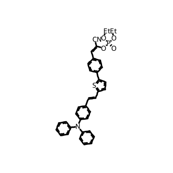 CCOP(=O)(OCC)OC(C#N)=Cc1ccc(-c2ccc(C=Cc3ccc(N(c4ccccc4)c4ccccc4)cc3)s2)cc1